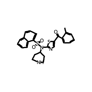 Cc1ccccc1C(=O)c1cnc(N(C2CCNCC2)S(=O)(=O)c2cccc3ccccc23)s1